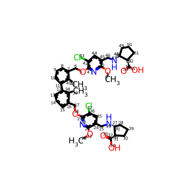 COc1nc(OCc2cccc(-c3cccc(COc4nc(OC)c(CN[C@@H]5CCC[C@H]5C(=O)O)cc4Cl)c3C)c2C)c(Cl)cc1CN[C@@H]1CCC[C@H]1C(=O)O